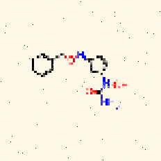 NC(=O)N(O)[C@@H]1C=CC(=NOCc2ccccc2)C1